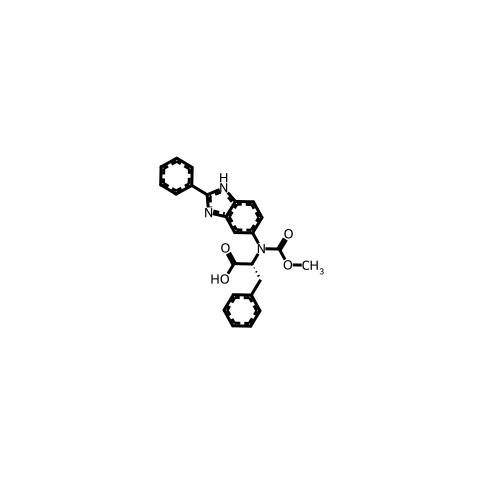 COC(=O)N(c1ccc2[nH]c(-c3ccccc3)nc2c1)[C@H](Cc1ccccc1)C(=O)O